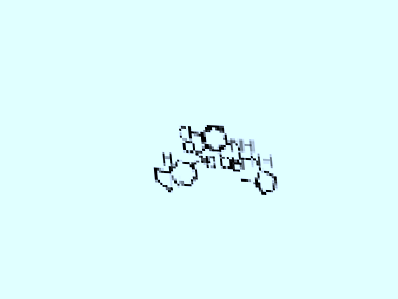 CC1=CCC[C@H]1NC(=O)Nc1ccc(Cl)c(S(=O)(=O)C2CCN3CCC[C@@H]3C2)c1O